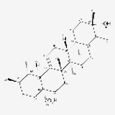 CC1C2CC[C@]3(C)[C@H](CC=C4[C@@H]5[C@@H](C)[C@H](C)CC[C@]5(C(=O)O)CC[C@]43C)[C@@]2(C)CC[C@]1(C)O